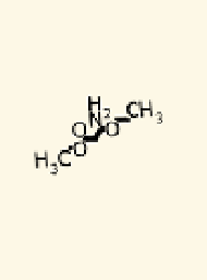 CCCOC(N)=CC(=O)OCC